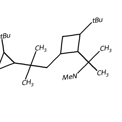 CNC(C)(C)C1C(CC(C)(C)C2CC2C(C)(C)C)CC1C(C)(C)C